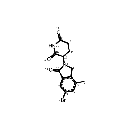 Cc1cc(Br)cc2c1CN(C1CCC(=O)NC1=O)C2=O